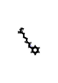 CC(C)NCCCO/N=C/c1ccccc1